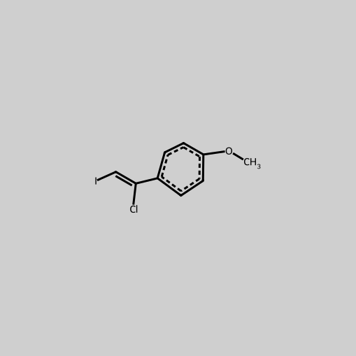 COc1ccc(C(Cl)=CI)cc1